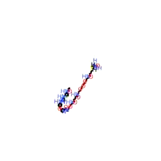 C=CC(=O)Nc1cccc(Nc2nc(Nc3ccc(Oc4ccnc(C(=O)N(C)CCOCCNC(=O)CCCC(=O)NCCCOCCOCCOCCCNC(=O)CCCC[C@@H]5SC[C@@H]6NC(=O)N[C@@H]65)c4)cc3)ncc2F)c1